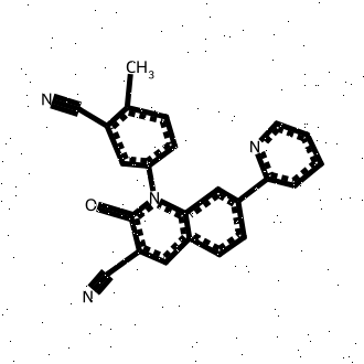 Cc1ccc(-n2c(=O)c(C#N)cc3ccc(-c4ccccn4)cc32)cc1C#N